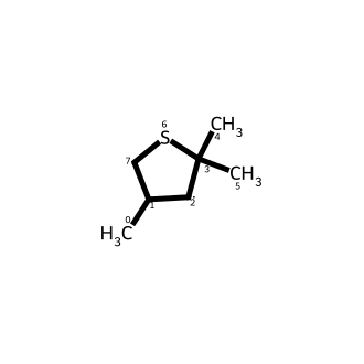 CC1[CH]C(C)(C)SC1